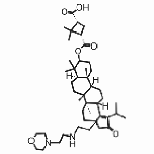 CC(C)C1=C2[C@H]3CC[C@@H]4[C@@]5(C)CC[C@H](OC(=O)[C@H]6C[C@@H](C(=O)O)C6(C)C)C(C)(C)[C@@H]5CC[C@@]4(C)[C@]3(C)CC[C@@]2(CCNCCN2CCOCC2)CC1=O